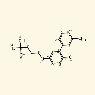 Cc1cc(-c2cc(OCCCC(C)(C)O)ccc2Cl)ccn1